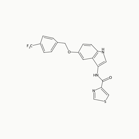 O=C(Nc1c[nH]c2ccc(OCc3ccc(C(F)(F)F)cc3)cc12)c1cscn1